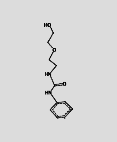 O=C(NCCOCCO)Nc1cc[c]cc1